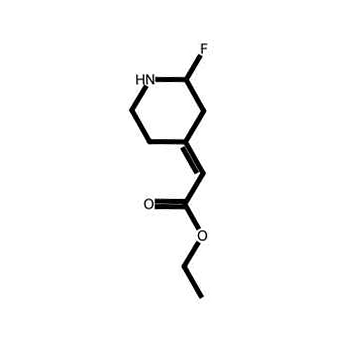 CCOC(=O)C=C1CCNC(F)C1